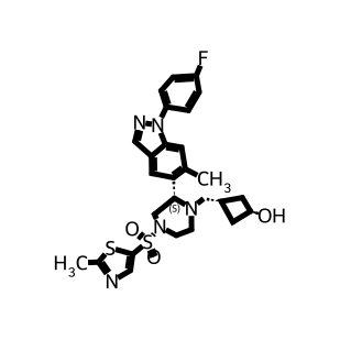 Cc1ncc(S(=O)(=O)N2CCN(C[C@H]3C[C@@H](O)C3)[C@@H](c3cc4cnn(-c5ccc(F)cc5)c4cc3C)C2)s1